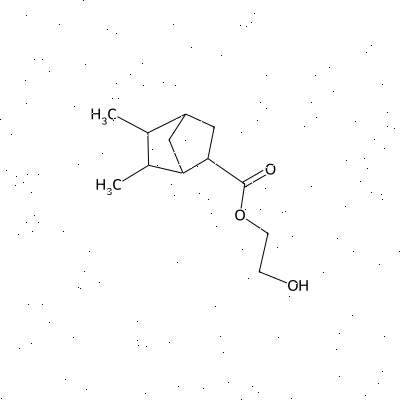 CC1C2CC(C(=O)OCCO)C(C2)C1C